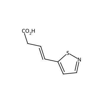 O=C(O)CC=Cc1ccns1